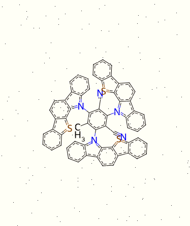 Cc1c(-n2c3ccccc3c3ccc4c5ccccc5sc4c32)c(C#N)c(-n2c3ccccc3c3ccc4c5ccccc5sc4c32)c(C#N)c1-n1c2ccccc2c2ccc3c4ccccc4sc3c21